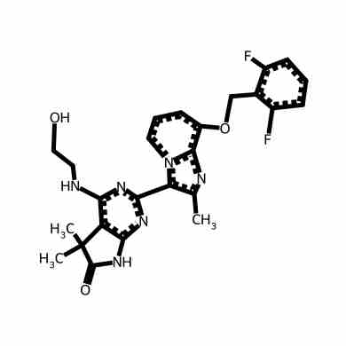 Cc1nc2c(OCc3c(F)cccc3F)cccn2c1-c1nc(NCCO)c2c(n1)NC(=O)C2(C)C